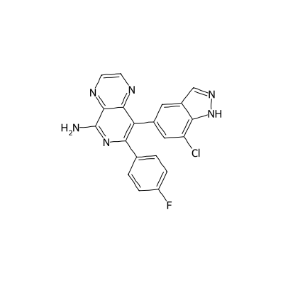 Nc1nc(-c2ccc(F)cc2)c(-c2cc(Cl)c3[nH]ncc3c2)c2nccnc12